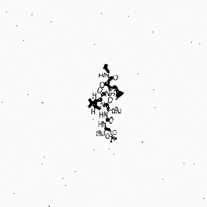 C=CCNC(=O)C(=O)C(CC1CC1)NC(=O)[C@@H]1[C@@H]2[C@H](CN1C(=O)[C@@H](NC(=O)N[C@H](CS(=O)(=O)N(C)C)C(C)(C)C)C(C)(C)C)C2(C)C